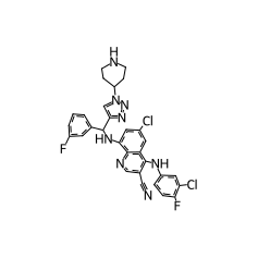 N#Cc1cnc2c(NC(c3cccc(F)c3)c3cn(C4CCNCC4)nn3)cc(Cl)cc2c1Nc1ccc(F)c(Cl)c1